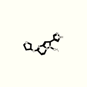 CN1C(c2cn[nH]c2)C=C2N=C(OC3CCOC3)C=CN21